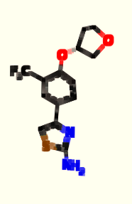 Nc1nc(-c2ccc(O[C@@H]3CCOC3)c(C(F)(F)F)c2)cs1